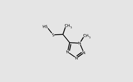 CC(SS)c1nnnn1C